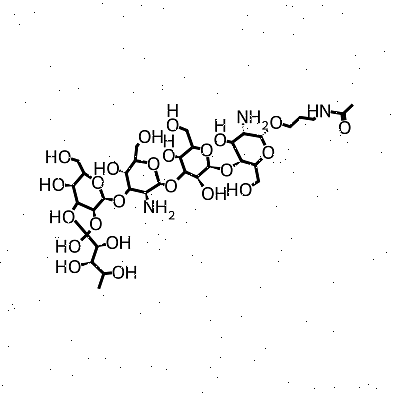 CC(=O)NCCCO[C@@H]1OC(CO)[C@@H](O[C@@H]2OC(CO)[C@H](O)C(O[C@@H]3OC(CO)[C@@H](O)C(O[C@@H]4OC(CO)[C@H](O)C(O)[C@@H]4OC(C)(O)[C@@H](O)[C@H](O)C(C)O)[C@@H]3N)[C@@H]2O)C(O)[C@@H]1N